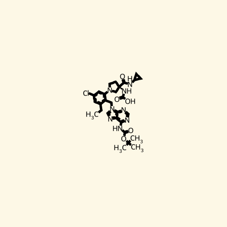 CCc1cc(Cl)cc(N2CC[C@](NC(=O)O)(C(=O)NC3CC3)C2)c1Cn1cnc2c(NC(=O)OC(C)(C)C)ncnc21